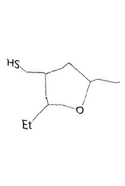 CCC1OC(C)CC1S